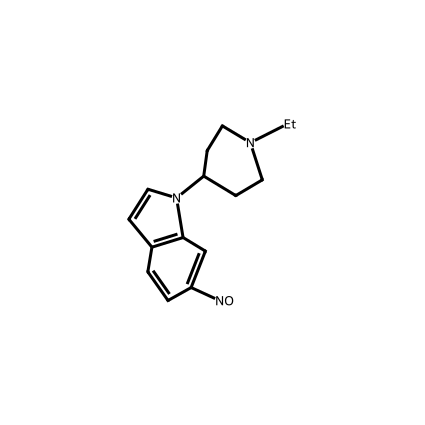 CCN1CCC(n2ccc3ccc(N=O)cc32)CC1